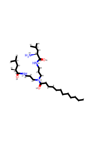 CCCCCCCCCCCC(=O)N(CCCNC(=O)[C@@H](C)CC(C)C)CCCNC(=O)[C@@H](N)CC(C)C